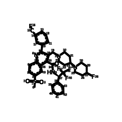 CS(=O)(=O)c1ccc2nc(-c3cccc(CF)c3)c(CN3CCC(N4CCC(F)CC4)CC3)c(C(=O)N[C@H](c3ccccc3)C(F)(F)F)c2c1